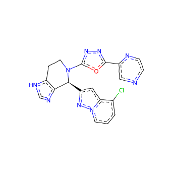 Clc1cccn2nc([C@H]3c4nc[nH]c4CCN3c3nnc(-c4cnccn4)o3)cc12